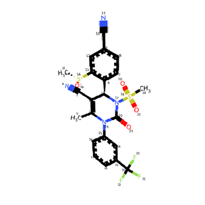 CC1=C(C#N)[C@@H](c2ccc(C#N)cc2[S@@+](C)[O-])N(S(C)(=O)=O)C(=O)N1c1cccc(C(F)(F)F)c1